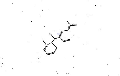 C=C/C(=C\C=C(C)C)C(F)C1CC=CC=C1C